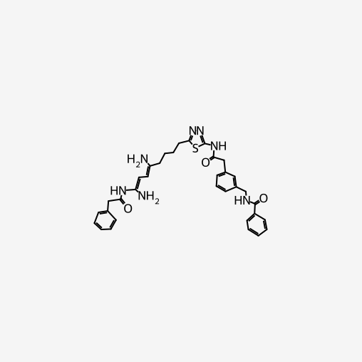 N/C(=C\C=C(/N)NC(=O)Cc1ccccc1)CCCCc1nnc(NC(=O)Cc2cccc(CNC(=O)c3ccccc3)c2)s1